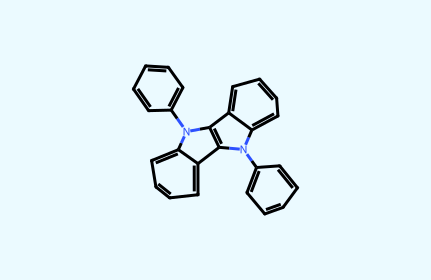 c1ccc(-n2c3ccccc3c3c2c2ccccc2n3-c2ccccc2)cc1